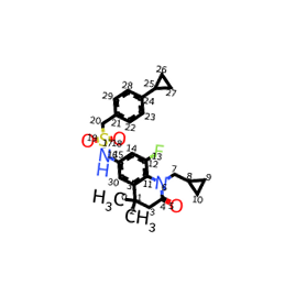 CC1(C)CC(=O)N(CC2CC2)c2c(F)cc(NS(=O)(=O)Cc3ccc(C4CC4)cc3)cc21